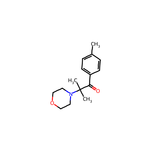 Cc1ccc(C(=O)C(C)(C)N2CCOCC2)cc1